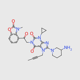 CC#CCn1c(N2CCCC(N)C2)nc2c1c(=O)n(CC(=O)c1cccc3oc(=O)n(C)c13)c(=O)n2C1CC1